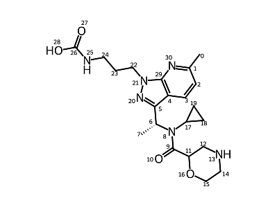 Cc1ccc2c([C@@H](C)N(C(=O)C3CNCCO3)C3CC3)nn(CCCNC(=O)O)c2n1